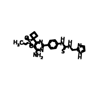 CCS(=O)(=O)C1(c2cc(N)nc(-c3ccc(NC(=S)NCc4ncc[nH]4)cc3)n2)CCC1